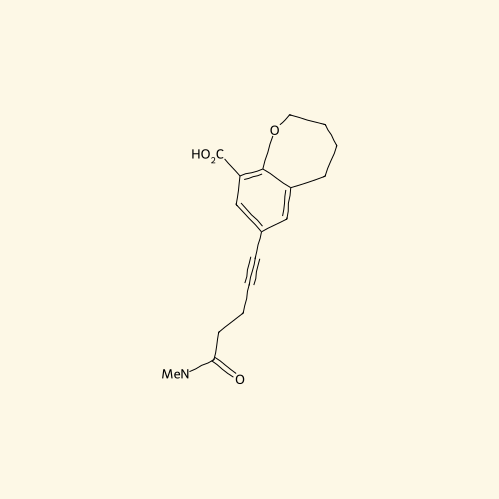 CNC(=O)CCC#Cc1cc2c(c(C(=O)O)c1)OCCCC2